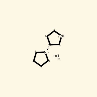 C1CCN([C@@H]2CCNC2)C1.Cl